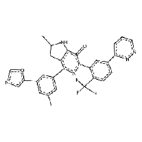 Cc1cc(-c2cnco2)cc(-c2nn(-c3cc(-c4cccnn4)ccc3C(F)(F)F)c(=O)c3c2CC(C)N3)c1